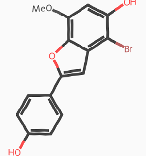 COc1cc(O)c(Br)c2cc(-c3ccc(O)cc3)oc12